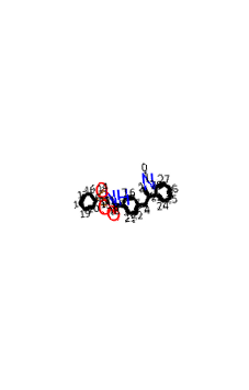 Cn1cc(Cc2ccc(C(=O)NS(=O)(=O)c3ccccc3)cc2)c2ccccc21